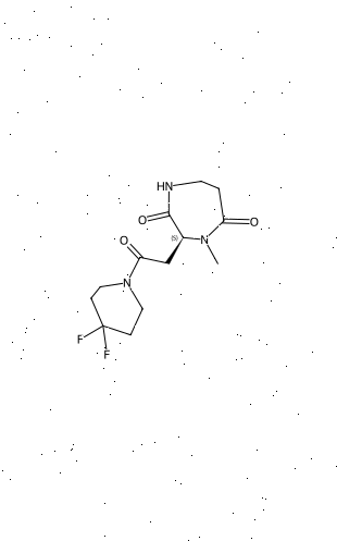 CN1C(=O)CCNC(=O)[C@@H]1CC(=O)N1CCC(F)(F)CC1